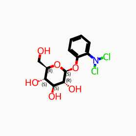 OC[C@H]1O[C@@H](Oc2ccccc2N(Cl)Cl)[C@H](O)[C@@H](O)[C@@H]1O